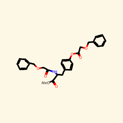 COC(=O)C(Cc1ccc(OC(=O)COCc2ccccc2)cc1)NC(=O)COCc1ccccc1